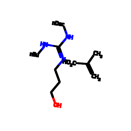 C=C(C)C(=O)O.CCCCCCCCCCNC(=NCCCO)NCCCC